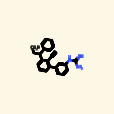 C#Cc1c(-c2cccc(NC(=N)N)c2)cccc1C(CC(=O)O)c1ccccc1